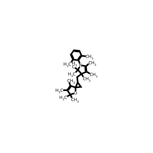 CC1=C(C)C(C)(CC2CC23OC(C)(C)C(C)=C3C)C(C)(C)N1c1c(C)cccc1C